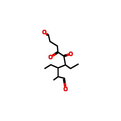 CCC(C(=O)C(=O)CCC=O)C(CC)C(C)C=O